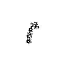 O=C(O)C1CCCN1C(=O)C=Cc1ccc(-c2nc3cnc(Oc4ccccc4F)nc3o2)cc1